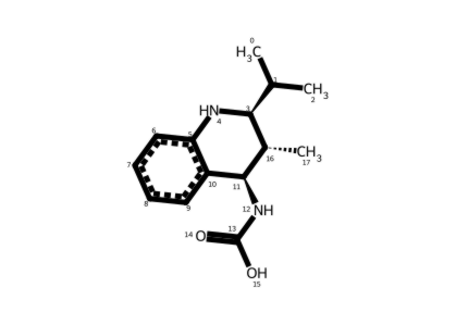 CC(C)[C@@H]1Nc2ccccc2[C@H](NC(=O)O)[C@H]1C